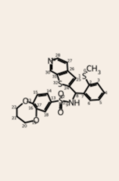 CSc1ccccc1C(NS(=O)(=O)c1ccc2c(c1)OCCCO2)c1cc2ccncc2s1